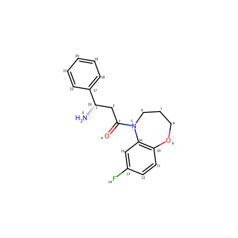 N[C@@H](CC(=O)N1CCCOc2ccc(F)cc21)c1ccccc1